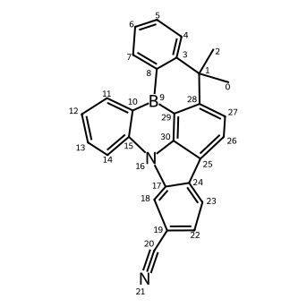 CC1(C)c2ccccc2B2c3ccccc3-n3c4cc(C#N)ccc4c4ccc1c2c43